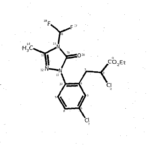 CCOC(=O)C(Cl)Cc1cc(Cl)ccc1-n1nc(C)n(C(F)F)c1=O